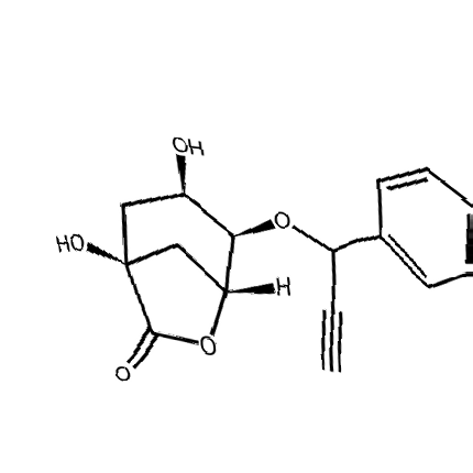 C#CC(O[C@@H]1[C@H](O)C[C@]2(O)C[C@H]1OC2=O)c1ccccc1